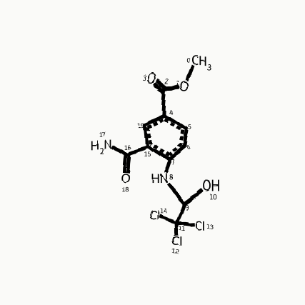 COC(=O)c1ccc(NC(O)C(Cl)(Cl)Cl)c(C(N)=O)c1